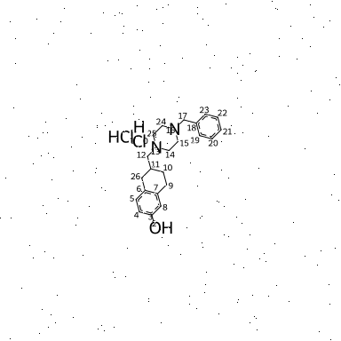 Cl.Cl.Oc1ccc2c(c1)CCC(CN1CCN(Cc3ccccc3)CC1)C2